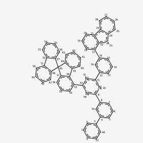 c1ccc(-c2cccc(-c3nc(-c4cccc(-c5cccc6c5sc5ccccc56)c4)nc(-c4cccc5c4-c4ccccc4C54c5ccccc5-c5ccccc54)n3)c2)cc1